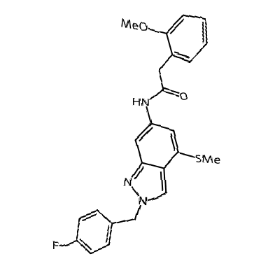 COc1ccccc1CC(=O)Nc1cc(SC)c2cn(Cc3ccc(F)cc3)nc2c1